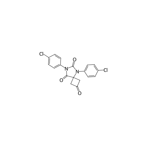 O=C1CC2(C1)C(=O)N(c1ccc(Cl)cc1)C(=O)N2c1ccc(Cl)cc1